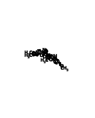 COCCN1CCn2nc(Nc3cc(-c4ccnc(-n5ccn6c7c(cc6c5=O)CC(C)(C)C7)c4CO)cn(C)c3=O)cc2C1